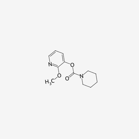 COc1ncccc1OC(=O)N1CCCCC1